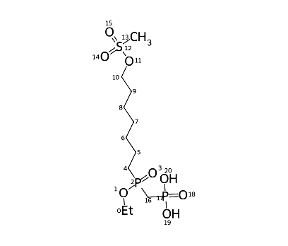 CCOP(=O)(CCCCCCCOS(C)(=O)=O)CP(=O)(O)O